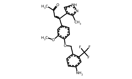 COc1cc(/C(=C/C(C)=O)c2c[nH]nc2C)ccc1OCc1ccc(N)cc1C(F)(F)F